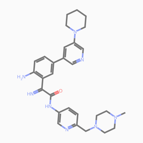 CN1CCN(Cc2ccc(NC(=O)C(=N)c3cc(-c4cncc(N5CCCCC5)c4)ccc3N)cn2)CC1